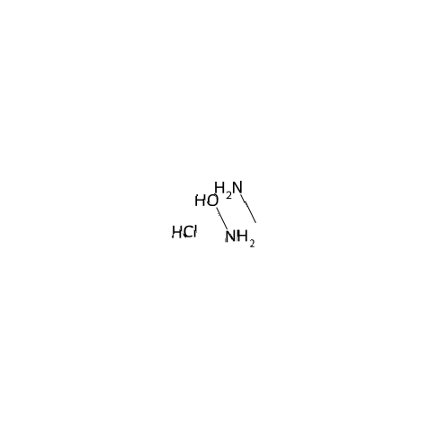 CN.Cl.NO